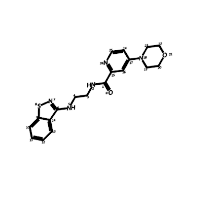 O=C(NCCNc1nsc2ccccc12)c1cc(N2CCOCC2)ccn1